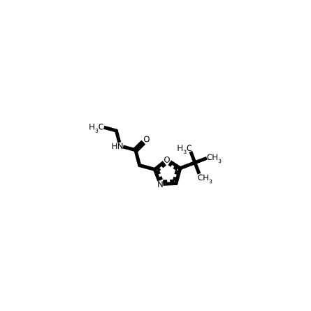 CCNC(=O)Cc1ncc(C(C)(C)C)o1